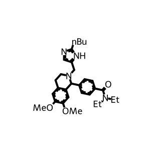 CCCCc1ncc(CN2CCc3cc(OC)c(OC)cc3C2c2ccc(C(=O)N(CC)CC)cc2)[nH]1